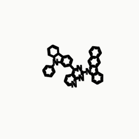 C1=CC2c3ccc(-c4nc(-n5c6ccccc6c6cc7ccccc7cc65)nc5ncccc45)cc3N(c3ccccc3)C2C=C1